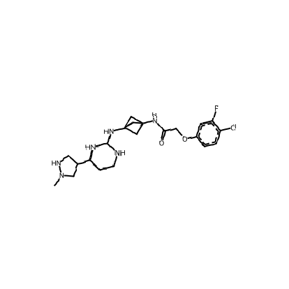 CN1CC(C2CCNC(NC34CC(NC(=O)COc5ccc(Cl)c(F)c5)(C3)C4)N2)CN1